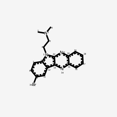 CN(C)CCn1c2ccc(Br)cc2c2nc3ccccc3nc21